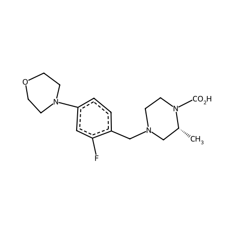 C[C@@H]1CN(Cc2ccc(N3CCOCC3)cc2F)CCN1C(=O)O